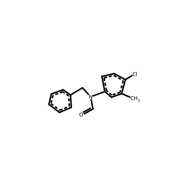 Cc1cc(N([C]=O)Cc2ccccc2)ccc1Cl